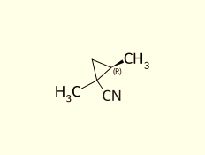 C[C@@H]1CC1(C)C#N